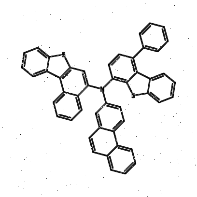 c1ccc(-c2ccc(N(c3ccc4c(ccc5ccccc54)c3)c3cc4sc5ccccc5c4c4ccccc34)c3sc4ccccc4c23)cc1